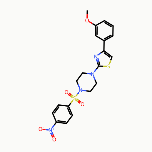 COc1cccc(-c2csc(N3CCN(S(=O)(=O)c4ccc([N+](=O)[O-])cc4)CC3)n2)c1